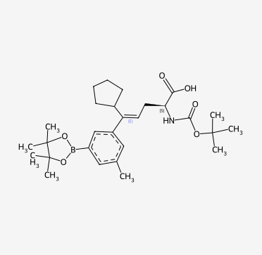 Cc1cc(B2OC(C)(C)C(C)(C)O2)cc(/C(=C/C[C@H](NC(=O)OC(C)(C)C)C(=O)O)C2CCCC2)c1